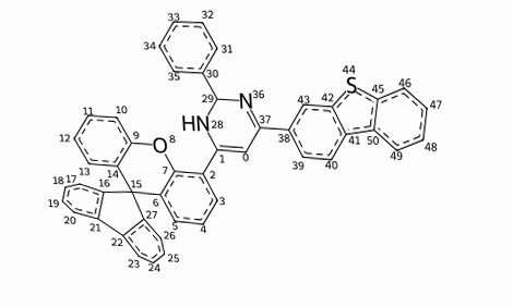 C1=C(c2cccc3c2Oc2ccccc2C32c3ccccc3-c3ccccc32)NC(c2ccccc2)N=C1c1ccc2c(c1)sc1ccccc12